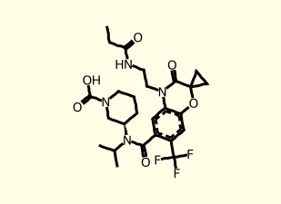 CCC(=O)NCCN1C(=O)C2(CC2)Oc2cc(C(F)(F)F)c(C(=O)N(C(C)C)[C@@H]3CCCN(C(=O)O)C3)cc21